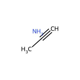 C#CC.N